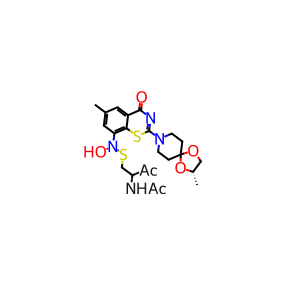 CC(=O)NC(CSN(O)c1cc(C)cc2c(=O)nc(N3CCC4(CC3)OC[C@H](C)O4)sc12)C(C)=O